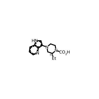 CC[C@H]1CN(c2c[nH]c3cccnc23)CCN1C(=O)O